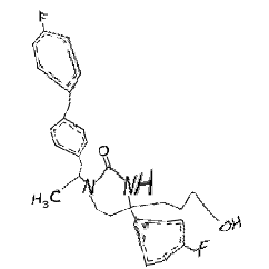 CC(c1ccc(-c2ccc(F)cc2)cc1)N1CCC(CCCO)(c2cccc(F)c2)NC1=O